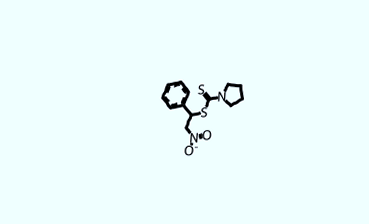 O=[N+]([O-])CC(SC(=S)N1CCCC1)c1ccccc1